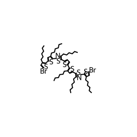 CCCCCCc1cc(Br)sc1-c1cc(CCCCCC)c(-c2nc(CCCCCC)c(-c3ccc(-c4sc(-c5sc(-c6sc(Br)cc6CCCCCC)nc5CCCCCC)cc4CCCCCC)s3)s2)s1